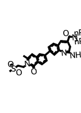 CCCN(CCC)C(=O)C1=Cc2ccc(-c3ccc4c(=O)n(CCS(C)(=O)=O)c(C)cc4c3)cc2N=C(N)C1